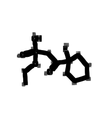 CCOP(=O)(O)CC(=O)C1(F)CCCCC1